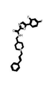 O=C(NCC1CCN(C/C=C/c2ccccc2)CC1)c1ncc(-c2ccc(F)cc2F)o1